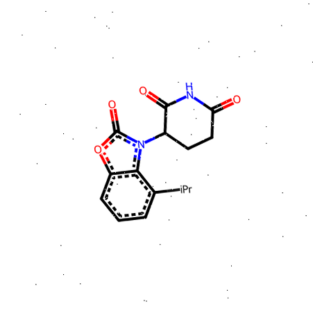 CC(C)c1cccc2oc(=O)n(C3CCC(=O)NC3=O)c12